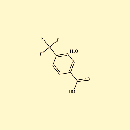 O.O=C(O)c1ccc(C(F)(F)F)cc1